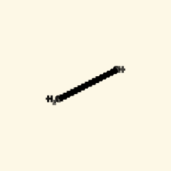 [CH]=CCCCCCCCCCCCCCCCCCCCCCCCCCCCCCC[CH2]